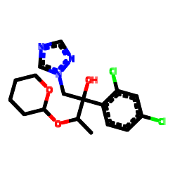 CC(OC1CCCCO1)C(O)(Cn1cncn1)c1ccc(Cl)cc1Cl